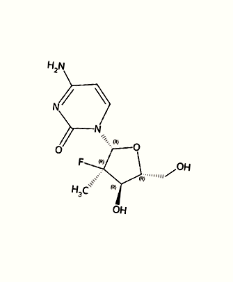 C[C@@]1(F)[C@H](O)[C@@H](CO)O[C@H]1n1ccc(N)nc1=O